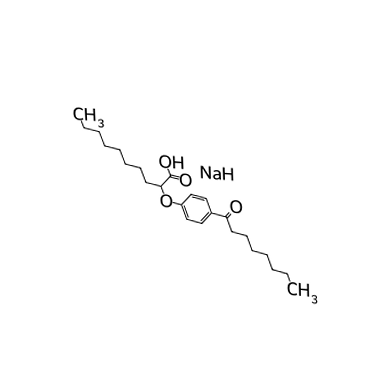 CCCCCCCCC(Oc1ccc(C(=O)CCCCCCC)cc1)C(=O)O.[NaH]